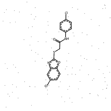 O=C(CSc1nc2cc(Cl)ccc2o1)Nc1ccc(Cl)cc1